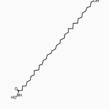 O=C(CCCCCCCCCCCCCCCCCCCCCCCCCCCCCCCCCCO)NO